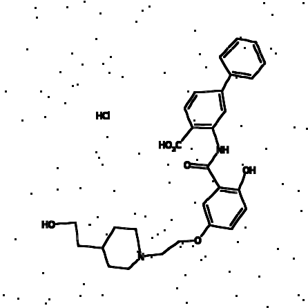 Cl.O=C(Nc1cc(-c2ccccc2)ccc1C(=O)O)c1cc(OCCN2CCC(CCO)CC2)ccc1O